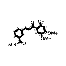 COC(=O)c1cccc(/C=C/C(=O)c2cc(OC)c(OC)cc2O)c1